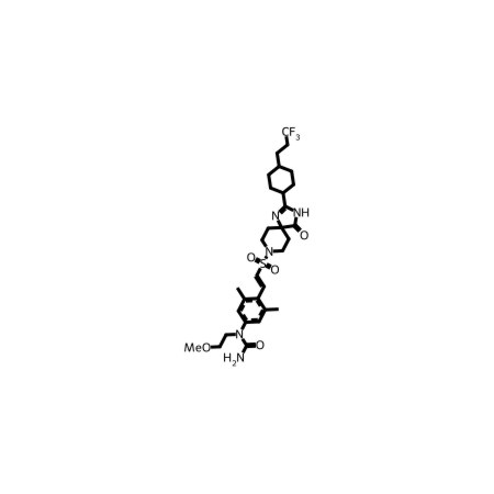 COCCN(C(N)=O)c1cc(C)c(C=CS(=O)(=O)N2CCC3(CC2)N=C(C2CCC(CCC(F)(F)F)CC2)NC3=O)c(C)c1